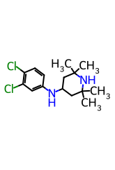 CC1(C)CC(Nc2ccc(Cl)c(Cl)c2)CC(C)(C)N1